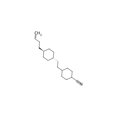 C=CCC[C@H]1CC[C@H](CCC2CCC(C#N)CC2)CC1